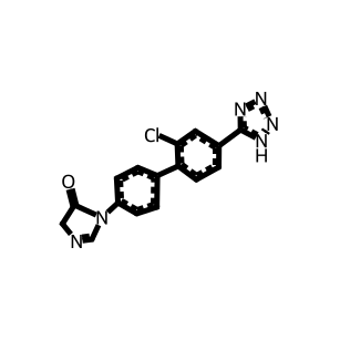 O=C1CN=CN1c1ccc(-c2ccc(-c3nnn[nH]3)cc2Cl)cc1